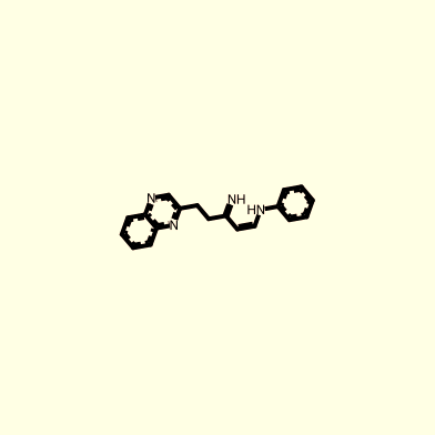 N=C(/C=C\Nc1ccccc1)CCc1cnc2ccccc2n1